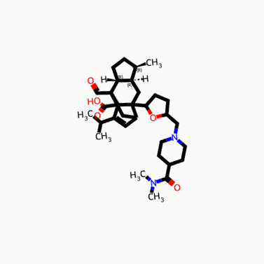 CC(C)C1=CC2CC3(C=O)[C@@H]4CC[C@@H](C)[C@H]4CC2(C2CCC(CN4CCC(C(=O)N(C)C)CC4)O2)C13C(=O)O